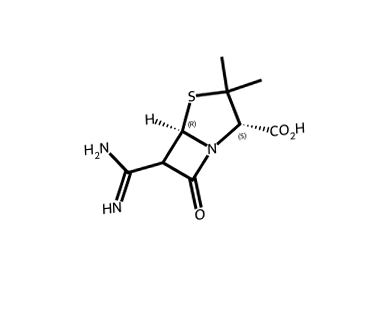 CC1(C)S[C@@H]2C(C(=N)N)C(=O)N2[C@H]1C(=O)O